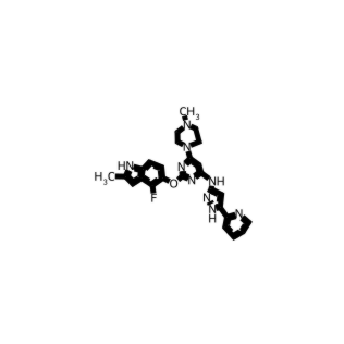 Cc1cc2c(F)c(Oc3nc(Nc4cc(-c5ccccn5)[nH]n4)cc(N4CCN(C)CC4)n3)ccc2[nH]1